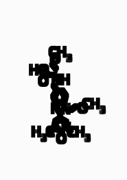 COCC[C@H](NCc1ccc2c(c1)nc(-c1cc(C)c(=O)n(C)c1)n2CCOC)C(=O)O